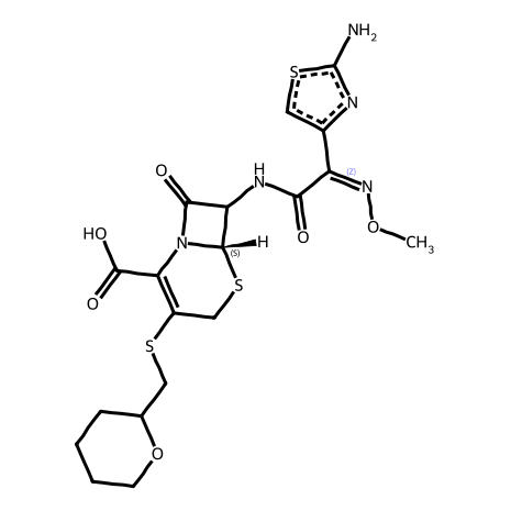 CO/N=C(\C(=O)NC1C(=O)N2C(C(=O)O)=C(SCC3CCCCO3)CS[C@@H]12)c1csc(N)n1